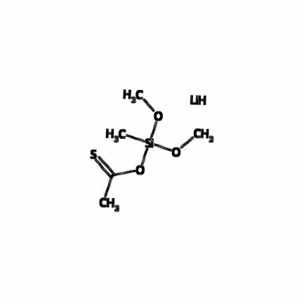 CO[Si](C)(OC)OC(C)=S.[LiH]